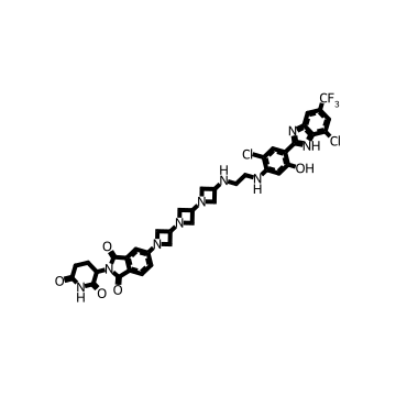 O=C1CCC(N2C(=O)c3ccc(N4CC(N5CC(N6CC(NCCNc7cc(O)c(-c8nc9cc(C(F)(F)F)cc(Cl)c9[nH]8)cc7Cl)C6)C5)C4)cc3C2=O)C(=O)N1